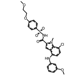 COCCOc1ccc(S(=O)(=O)NC(=O)c2cc3c(Nc4cccc(OC)c4)ccc(Cl)c3n2C)cc1